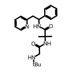 CC(C)(C)NCC(=O)NC(C)(C)C(=O)NC(Cc1ccccn1)c1ccccc1